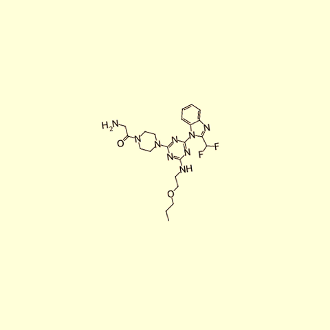 CCCOCCNc1nc(N2CCN(C(=O)CN)CC2)nc(-n2c(C(F)F)nc3ccccc32)n1